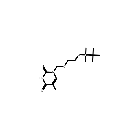 CC(C)(C)[Si](C)(C)OCCOCn1cc(F)c(=O)[nH]c1=O